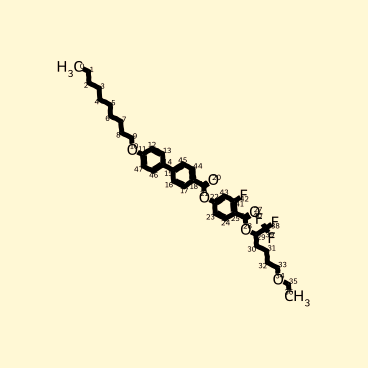 CCCCCCCCCCOc1ccc(-c2ccc(C(=O)Oc3ccc(C(=O)OC(CCCCOCC)C(F)(F)F)c(F)c3)cc2)cc1